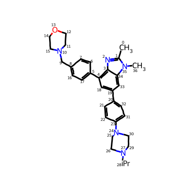 Cc1nc2c(-c3ccc(CN4CCOCC4)cc3)cc(-c3ccc(N4CCN(C(C)C)CC4)cc3)cc2n1C